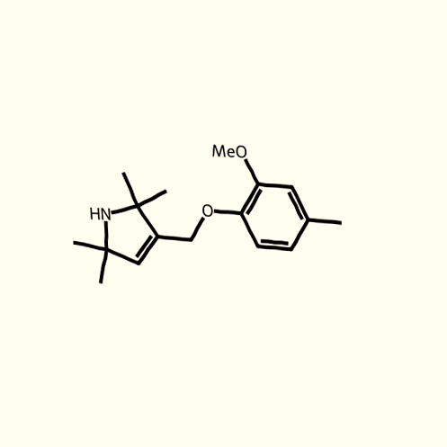 COc1cc(C)ccc1OCC1=CC(C)(C)NC1(C)C